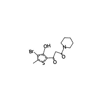 Cc1sc(C(=O)CC(=O)N2CCCCC2)c(O)c1Br